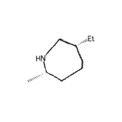 CC[C@@H]1CC[C@H](C)NC1